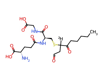 [2H]C(CC=O)(SC[C@@H](NC(=O)CC[C@H](N)C(=O)O)C(=O)NCC(=O)O)C(=O)CCCCC